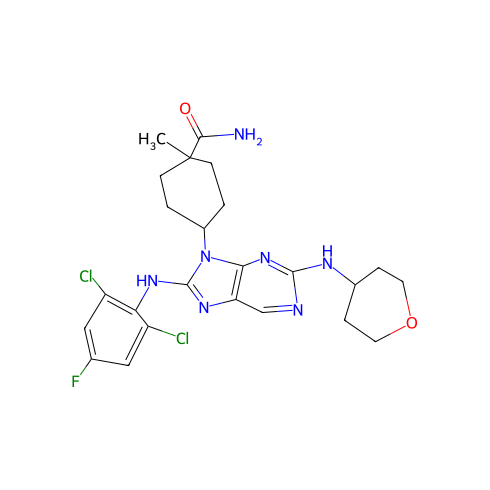 CC1(C(N)=O)CCC(n2c(Nc3c(Cl)cc(F)cc3Cl)nc3cnc(NC4CCOCC4)nc32)CC1